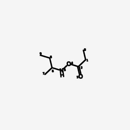 CCC(=O)ONC(C)CC